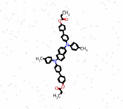 C=CC(=O)Oc1ccc(-c2ccc(N(c3ccc(C)cc3)c3ccc4cc(N(c5ccc(C)cc5)c5ccc(-c6ccc(OC(=O)C=C)cc6)cc5)ccc4c3)cc2)cc1